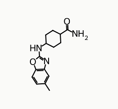 Cc1ccc2oc(NC3CCC(C(N)=O)CC3)nc2c1